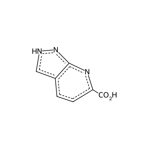 O=C(O)c1ccc2c[nH]nc2n1